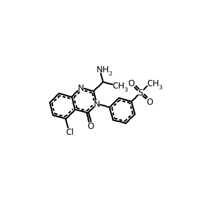 CC(N)c1nc2cccc(Cl)c2c(=O)n1-c1cccc(S(C)(=O)=O)c1